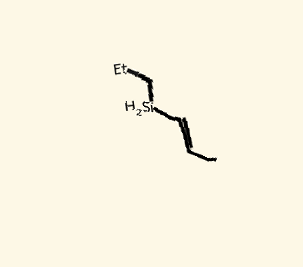 CC=C[SiH2]CCC